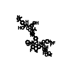 Cc1ncsc1-c1ccc([C@H](CO)NC(=O)[C@@H]2C[C@@H](O)CN2C(=O)[C@H](C(C)C)n2cc(-c3ccc(COc4c(-c5c(C)c(F)cc6c5cnn6C5CCCCO5)c(C5CC5)cc5c(N6C[C@@H]7C[C@H]6CN7C(=O)OC(C)(C)C)nc(OC6CCN(CC(F)F)CC6)nc45)cc3)nn2)cc1